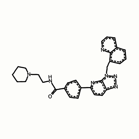 O=C(NCCN1CCCCC1)c1ccc(-c2ccc3nnn(Cc4cccc5cccnc45)c3n2)cc1